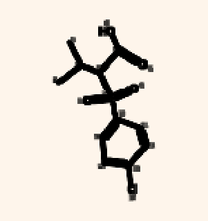 CC(C)C(C(=O)O)S(=O)(=O)c1ccc(Cl)cc1